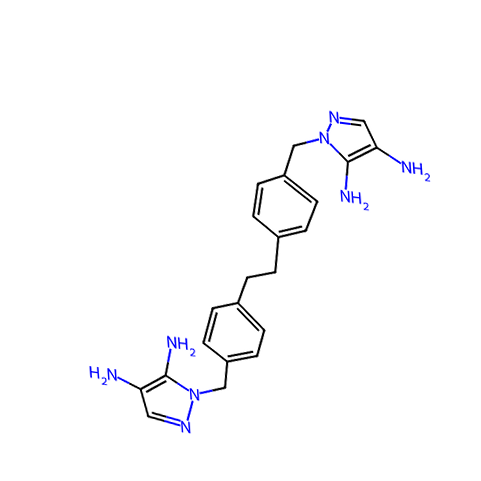 Nc1cnn(Cc2ccc(CCc3ccc(Cn4ncc(N)c4N)cc3)cc2)c1N